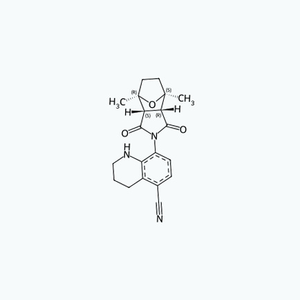 C[C@]12CC[C@](C)(O1)[C@@H]1C(=O)N(c3ccc(C#N)c4c3NCCC4)C(=O)[C@@H]12